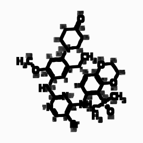 CCc1cc(Nc2ncc(Br)c(Nc3ccc4c(c3P(C)(C)=O)OCCO4)n2)c(OC)cc1N1CCC(=O)CC1